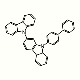 C1=CC2c3ccc(-n4c5ccccc5c5ccccc54)cc3N(c3ccc(-c4ccccc4)cc3)C2C=C1